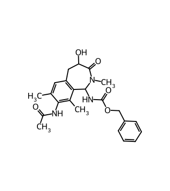 CC(=O)Nc1c(C)cc2c(c1C)C(NC(=O)OCc1ccccc1)N(C)C(=O)C(O)C2